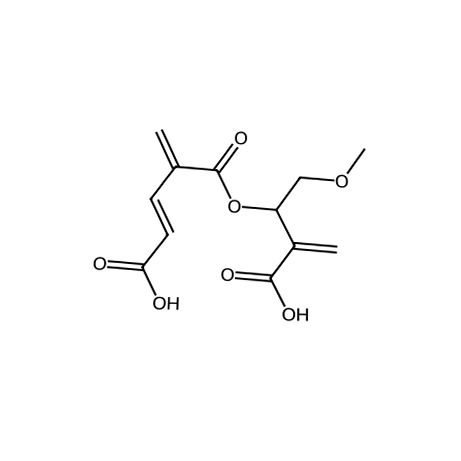 C=C(C=CC(=O)O)C(=O)OC(COC)C(=C)C(=O)O